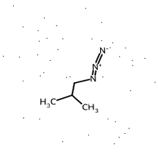 CC(C)CN=[N+]=[N-]